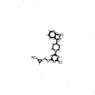 N#C[C@@H]1C[C@@H]1COc1nc(Cl)nc(N2CCC(c3n[nH]c4ncccc34)CC2)n1